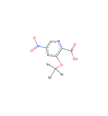 [2H]C([2H])([2H])Oc1cc([N+](=O)[O-])cnc1C(=O)O